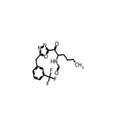 CCCCC(NC=O)C(=O)c1nnc(Cc2cccc(C(F)(F)F)c2)o1